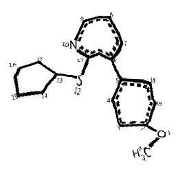 COc1ccc(-c2cccnc2SC2CCCC2)cc1